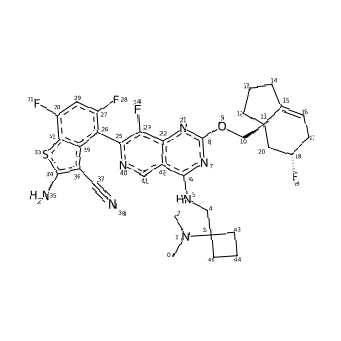 CN(C)C1(CNc2nc(OC[C@@]34CCCC3=CC[C@H](F)C4)nc3c(F)c(-c4c(F)cc(F)c5sc(N)c(C#N)c45)ncc23)CCC1